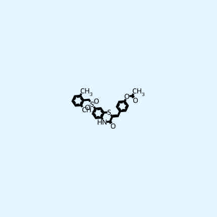 CC(=O)Oc1ccc(/C=C2\Sc3cc(S(=O)(=O)Cc4c(C)cccc4C)ccc3NC2=O)cc1